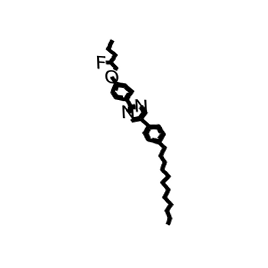 CCCCCCCCCCCCc1ccc(-c2cnc(-c3ccc(OCC(F)CCC)cc3)nc2)cc1